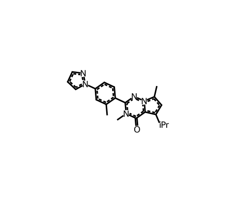 Cc1cc(-n2cccn2)ccc1-c1nn2c(C)cc(C(C)C)c2c(=O)n1C